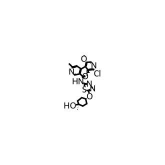 COc1cnc(Cl)c(F)c1-c1cc(C)ncc1C(=O)Nc1nnc(O[C@H]2CC[C@](C)(O)CC2)s1